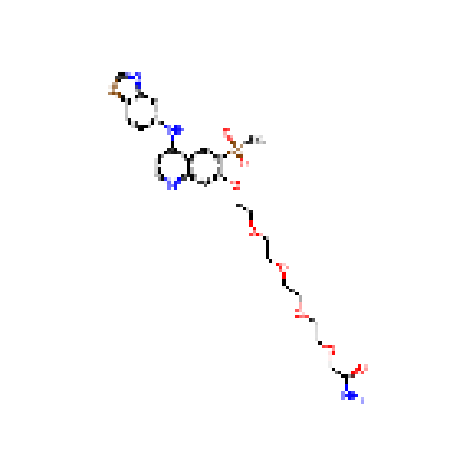 CC(C)(C)S(=O)(=O)c1cc2c(Nc3ccc4scnc4c3)ccnc2cc1OCCOCCOCCOCCOCC(N)=O